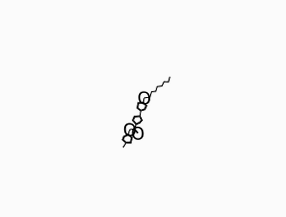 CCCCCCCCOc1ccc(-c2ccc(C(=O)Oc3ccc(C)cc3)cc2)cc1